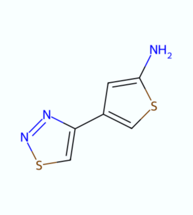 Nc1cc(-c2csnn2)cs1